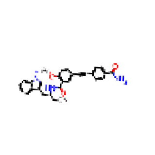 CC(C)Oc1ccc(C#Cc2ccc(C(N)=O)cc2)cc1C(=O)NC(CC#N)Cc1c[nH]c2ccccc12